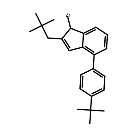 CC(C)(C)CC1=Cc2c(-c3ccc(C(C)(C)C)cc3)cccc2[CH]1[Zr]